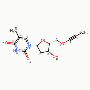 CC#COC[C@H]1O[C@@H](n2cc(C)c(=O)[nH]c2=O)C[C@@H]1O